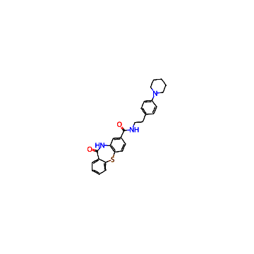 O=C(NCCc1ccc(N2CCCCC2)cc1)c1ccc2c(c1)NC(=O)c1ccccc1S2